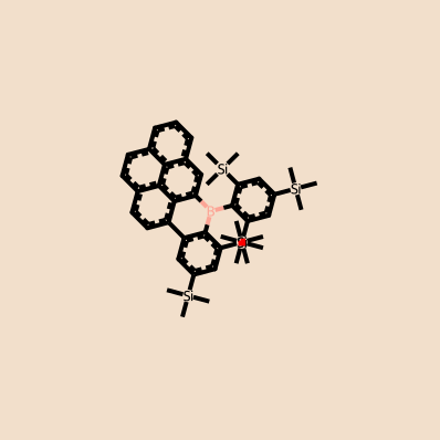 C[Si](C)(C)c1cc2c(c([Si](C)(C)C)c1)B(c1c([Si](C)(C)C)cc([Si](C)(C)C)cc1[Si](C)(C)C)c1cc3cccc4ccc5ccc-2c1c5c43